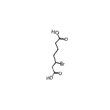 O=C(O)CCCC(Br)CC(=O)O